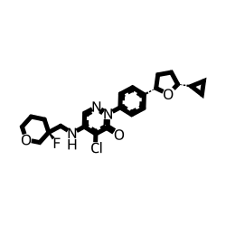 O=c1c(Cl)c(NC[C@@]2(F)CCCOC2)cnn1-c1ccc([C@@H]2CC[C@H](C3CC3)O2)cc1